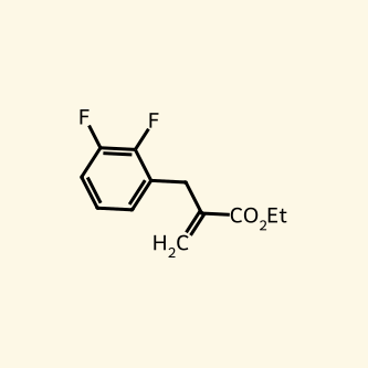 C=C(Cc1cccc(F)c1F)C(=O)OCC